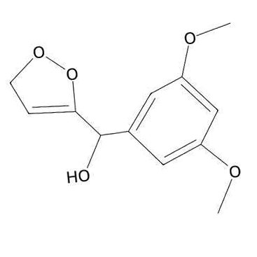 COc1cc(OC)cc(C(O)C2=CCOO2)c1